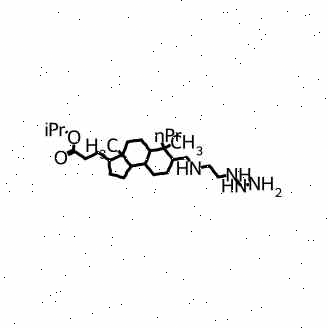 CCCC1(C)C(CNCCNNN)CCC2C3CCC(CCC(=O)OC(C)C)C3(C)CCC21